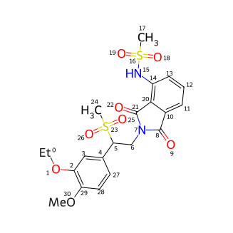 CCOc1cc(C(CN2C(=O)c3cccc(NS(C)(=O)=O)c3C2=O)S(C)(=O)=O)ccc1OC